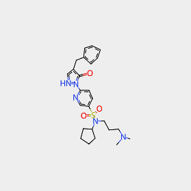 CN(C)CCCN(C1CCCC1)S(=O)(=O)c1ccc(-n2[nH]cc(Cc3ccccc3)c2=O)nc1